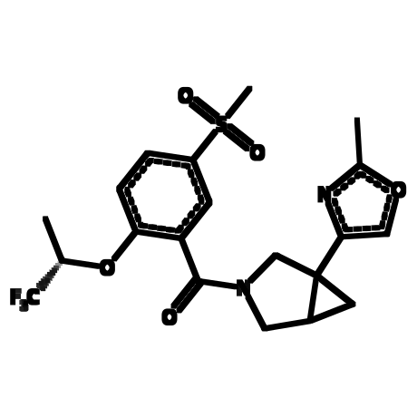 Cc1nc(C23CC2CN(C(=O)c2cc(S(C)(=O)=O)ccc2O[C@@H](C)C(F)(F)F)C3)co1